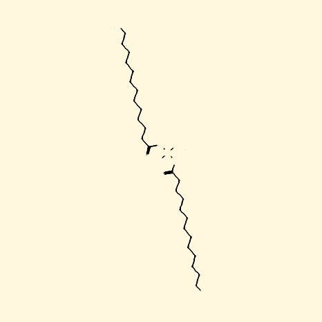 CCCCCCCCCCCCCC(=O)O[Si](C)(C)OC(=O)CCCCCCCCCCCCC